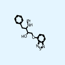 CC(C)NC(Cc1ccccc1)C(O)COc1cccc2nsnc12